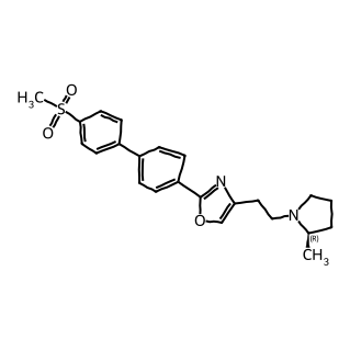 C[C@@H]1CCCN1CCc1coc(-c2ccc(-c3ccc(S(C)(=O)=O)cc3)cc2)n1